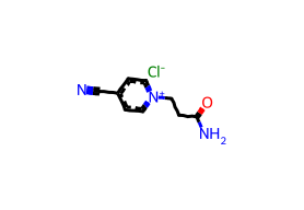 N#Cc1cc[n+](CCC(N)=O)cc1.[Cl-]